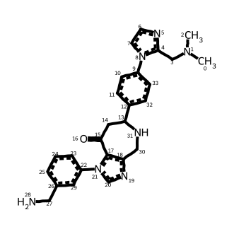 CN(C)Cc1nccn1-c1ccc(C2CC(=O)c3c(ncn3-c3cccc(CN)c3)CN2)cc1